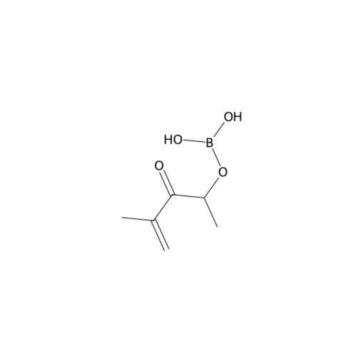 C=C(C)C(=O)C(C)OB(O)O